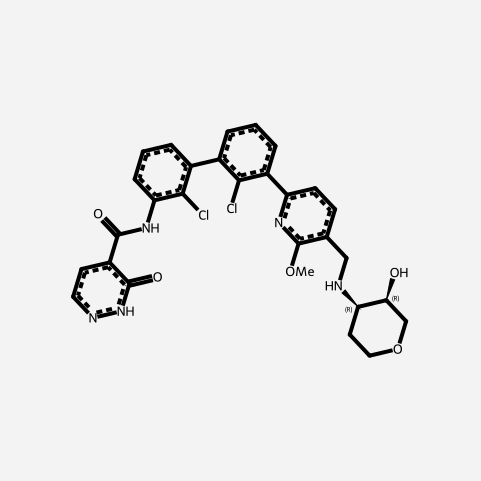 COc1nc(-c2cccc(-c3cccc(NC(=O)c4ccn[nH]c4=O)c3Cl)c2Cl)ccc1CN[C@@H]1CCOC[C@@H]1O